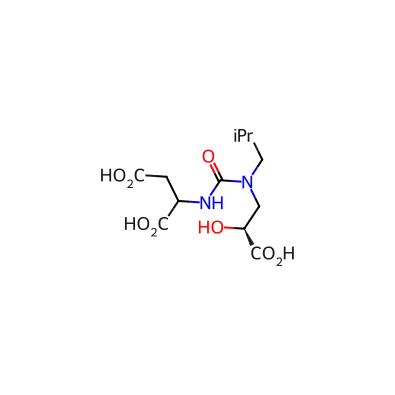 CC(C)CN(C[C@H](O)C(=O)O)C(=O)NC(CC(=O)O)C(=O)O